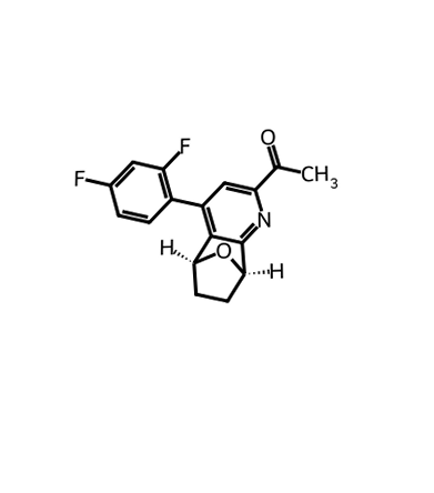 CC(=O)c1cc(-c2ccc(F)cc2F)c2c(n1)[C@H]1CC[C@@H]2O1